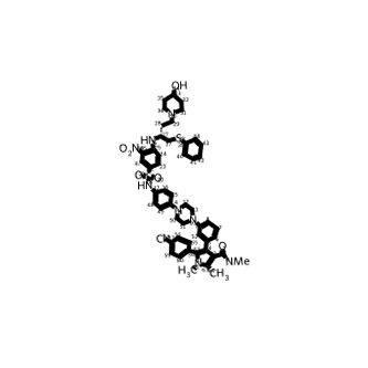 CNC(=O)c1c(-c2cccc(N3CCN(c4ccc(NS(=O)(=O)c5ccc(N[C@H](CCN6CCC(O)CC6)CSc6ccccc6)c([N+](=O)[O-])c5)cc4)CC3)c2)c(-c2ccc(Cl)cc2)n(C)c1C